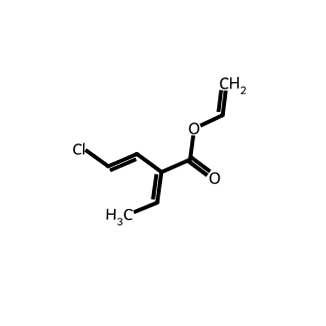 C=COC(=O)C(C=CCl)=CC